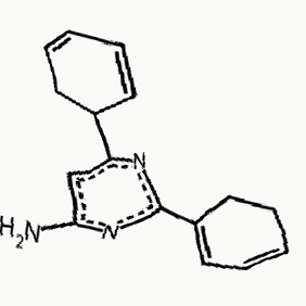 Nc1cc(C2C=CC=CC2)nc(C2=CC=CCC2)n1